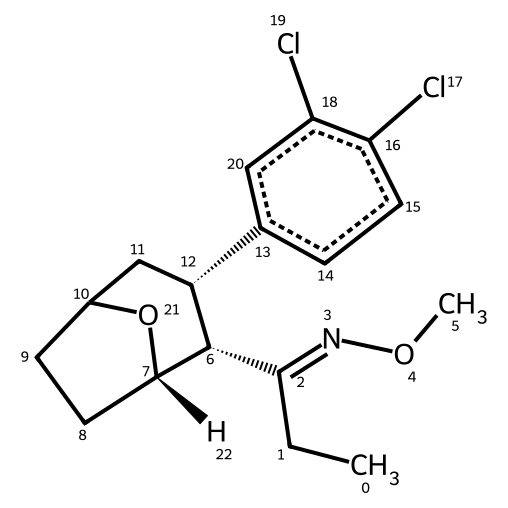 CCC(=NOC)[C@@H]1[C@@H]2CCC(C[C@@H]1c1ccc(Cl)c(Cl)c1)O2